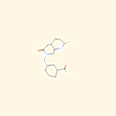 COC(=O)c1cccc(Cn2cc3nc(Br)ccc3cc2=O)c1